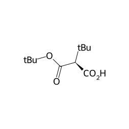 CC(C)(C)OC(=O)[C@H](C(=O)O)C(C)(C)C